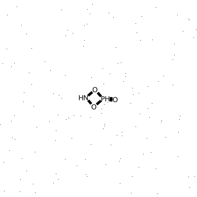 O=[PH]1ONO1